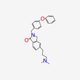 CN(C)CCCc1ccc2c(c1)CN(Cc1ccc(Oc3ccccc3)cc1)C2=O